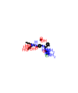 CC(=O)O.CCCCCCN(CCNC(=O)c1ccc(CNCC(CNC(=O)c2nc(Cl)c(N)nc2N)Cc2ccccc2C)cc1)CC(O)C(O)C(O)CO